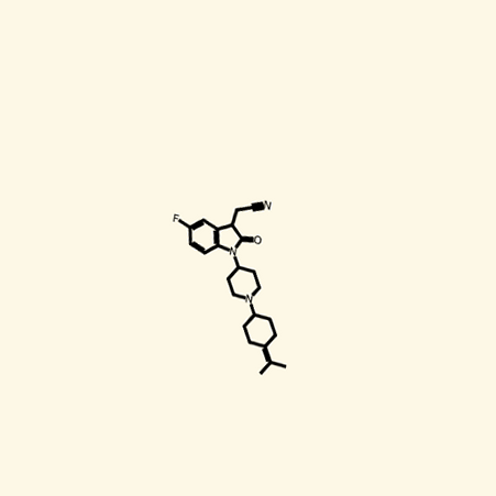 CC(C)=C1CCC(N2CCC(N3C(=O)C(CC#N)c4cc(F)ccc43)CC2)CC1